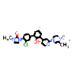 CC1=CN(c2cc(-c3cc(F)cc(-c4ccc(-n5ccn(C)c5=O)c(Cl)c4)c3O)ccn2)CCN1C